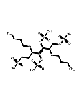 CCCCOC(COS(=O)(=O)O)/C(OS(=O)(=O)O)=C(\OS(=O)(=O)O)C(COS(=O)(=O)O)OCCCC